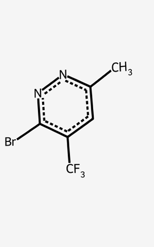 Cc1cc(C(F)(F)F)c(Br)nn1